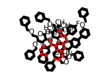 CC(C)(C)[Si](C)(C)O[C@@H](CC[C@@H](C(=O)N1C(=O)OC[C@@H]1Cc1ccccc1)[C@H](Nc1ccccc1)c1ccc(-c2cccc(OCc3ccccc3)c2)cc1SC[C@@H]1OC(COCc2ccccc2)[C@@H](O[C@@H]2OC(COCc3ccccc3)[C@@H](OCc3ccccc3)[C@@H](OCc3ccccc3)C2OCc2ccccc2)[C@@H](OCc2ccccc2)C1OCc1ccccc1)c1ccc(F)cc1